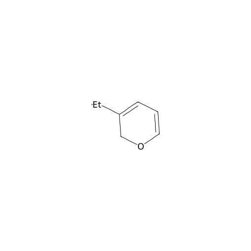 C[CH]C1=CC=COC1